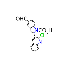 O=Cc1ccc2c(c1)cc(-c1cc3ccccc3nc1Cl)n2C(=O)O